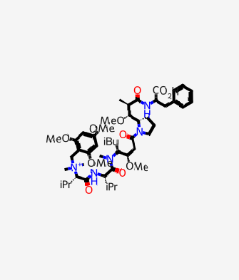 CCC(C)[C@@H]([C@@H](CC(=O)N1CCC[C@H]1[C@H](OC)[C@@H](C)C(=O)NC(Cc1ccccc1)C(=O)O)OC)N(C)C(=O)[C@@H](NC(=O)[C@H](C(C)C)[N+](C)(C)Cc1c(OC)cc(OC)cc1OC)C(C)C